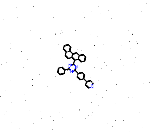 c1ccc(-c2nc(-c3ccc(-c4ccncc4)cc3)nc(-c3c4ccccc4cc4c3ccc3ccccc34)n2)cc1